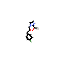 CCC(O)c1nccn1CCCc1ccc(Cl)cc1